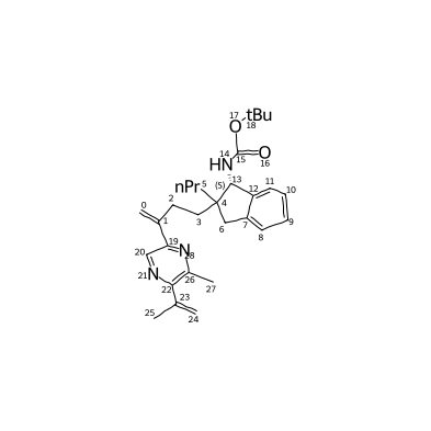 C=C(CCC1(CCC)Cc2ccccc2[C@H]1NC(=O)OC(C)(C)C)c1cnc(C(=C)C)c(C)n1